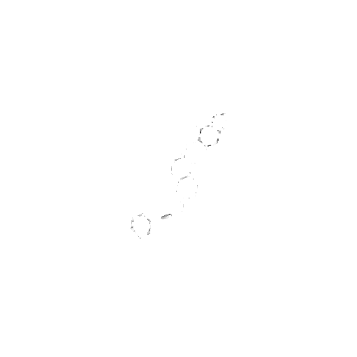 CN1C2=C(CNC1Cc1ccc3occc3c1)CN(CC#Cc1ccccc1)CC2